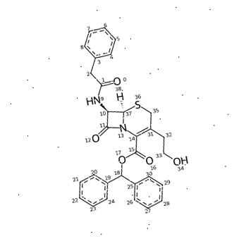 O=C(Cc1ccccc1)N[C@@H]1C(=O)N2C(C(=O)OC(c3ccccc3)c3ccccc3)=C(CCO)CS[C@H]12